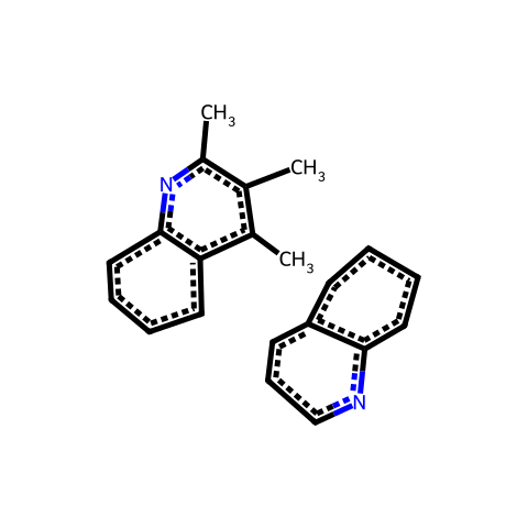 Cc1nc2ccccc2c(C)c1C.c1ccc2ncccc2c1